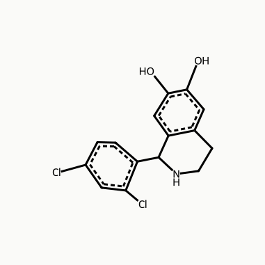 Oc1cc2c(cc1O)C(c1ccc(Cl)cc1Cl)NCC2